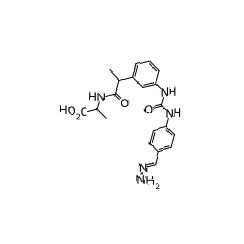 CC(NC(=O)C(C)c1cccc(NC(=O)Nc2ccc(C=NN)cc2)c1)C(=O)O